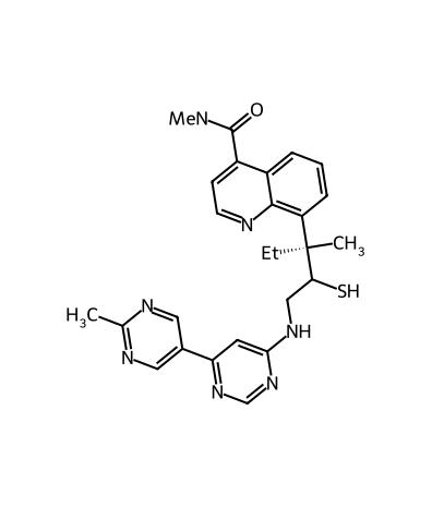 CC[C@@](C)(c1cccc2c(C(=O)NC)ccnc12)C(S)CNc1cc(-c2cnc(C)nc2)ncn1